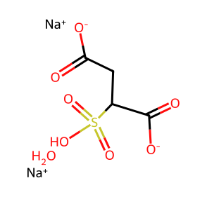 O.O=C([O-])CC(C(=O)[O-])S(=O)(=O)O.[Na+].[Na+]